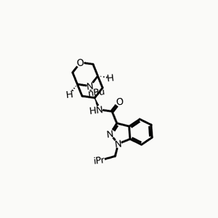 CCCCN1[C@@H]2COC[C@H]1C[C@@H](NC(=O)c1nn(CC(C)C)c3ccccc13)C2